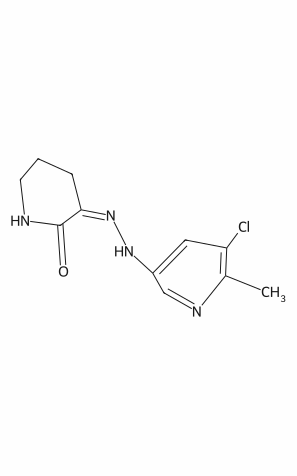 Cc1ncc(NN=C2CCCNC2=O)cc1Cl